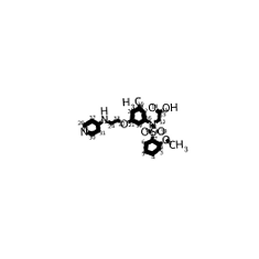 COc1ccccc1S(=O)(=O)N(CC(=O)O)c1cc(C)cc(OCCNc2ccncc2)c1